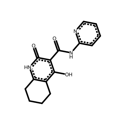 O=C(Nc1ccccn1)c1c(O)c2c([nH]c1=O)CCCC2